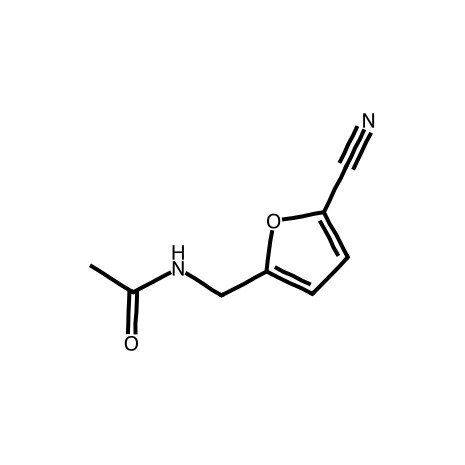 CC(=O)NCc1ccc(C#N)o1